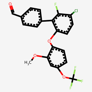 COc1cc(OC(F)(F)F)ccc1Oc1ccc(Cl)c(F)c1-c1ccc([C]=O)cc1